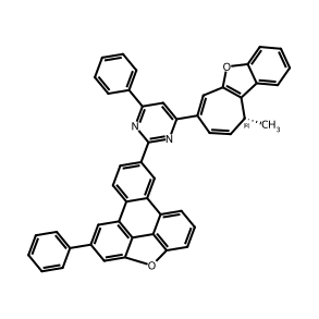 C[C@@H]1C=CC(c2cc(-c3ccccc3)nc(-c3ccc4c(c3)c3cccc5oc6cc(-c7ccccc7)cc4c6c53)n2)=Cc2oc3ccccc3c21